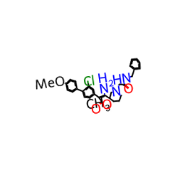 COc1ccc(-c2cc(C)c(C3=C(N)C4(CCCN(CC(=O)NCc5ccccc5)C4)OC3=O)cc2Cl)cc1